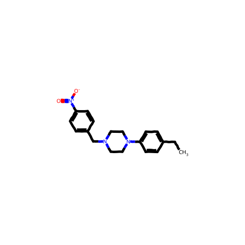 CCc1ccc(N2CCN(Cc3ccc([N+](=O)[O-])cc3)CC2)cc1